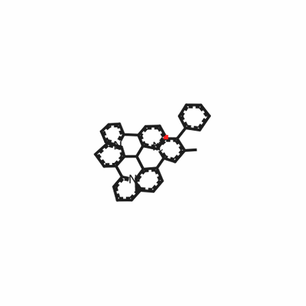 Cc1cc(-c2ccccc2C(c2ccccc2-c2ccccn2)c2ccccc2-c2ccccn2)ncc1-c1ccccc1